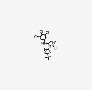 CN1CC(Nc2cc(Cl)c(Cl)c(Cl)c2)N(c2nnc(C(C)(C)C)s2)C1=O